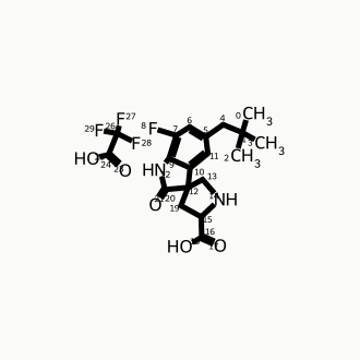 CC(C)(C)Cc1cc(F)c2c(c1)C1(CNC(C(=O)O)C1)C(=O)N2.O=C(O)C(F)(F)F